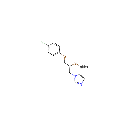 CCCCCCCCCSC(CSc1ccc(F)cc1)Cn1ccnc1